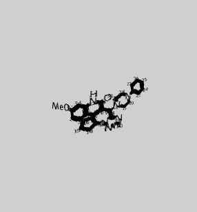 COc1ccc2cc([C@H](c3nnnn3C3CCCC3)N3CCN(c4ccccc4)CC3)c(=O)[nH]c2c1